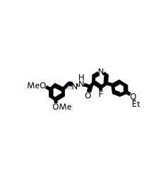 CCOc1ccc(-c2cncc(C(=O)N/N=C/c3cc(OC)cc(OC)c3)c2F)cc1